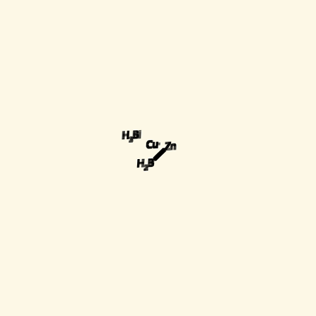 [BH2][Zn].[BiH3].[Cu]